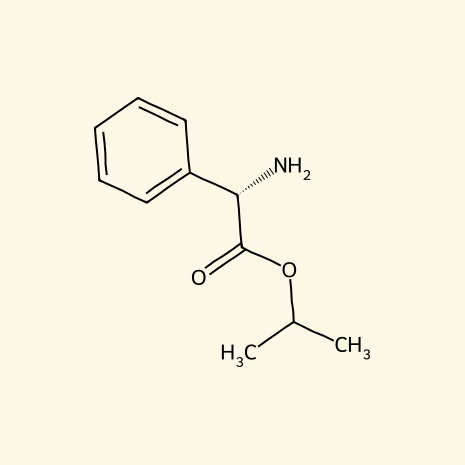 CC(C)OC(=O)[C@@H](N)c1ccccc1